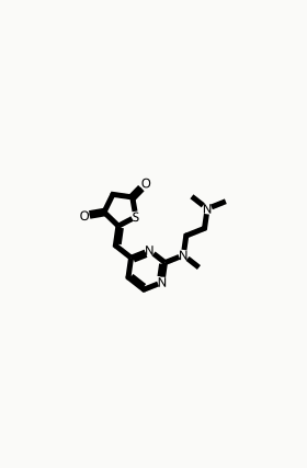 CN(C)CCN(C)c1nccc(/C=C2\SC(=O)CC2=O)n1